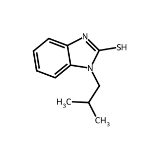 CC(C)Cn1c(S)nc2ccccc21